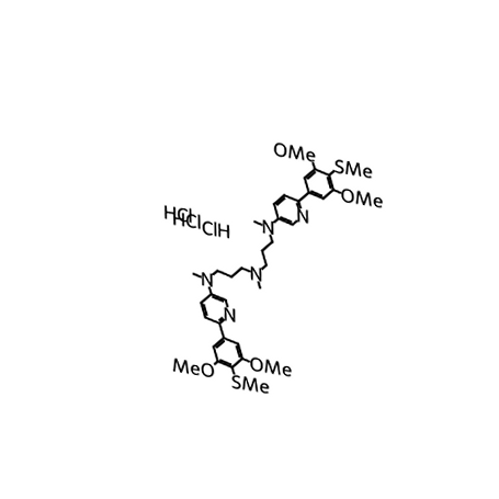 COc1cc(-c2ccc(N(C)CCCN(C)CCCN(C)c3ccc(-c4cc(OC)c(SC)c(OC)c4)nc3)cn2)cc(OC)c1SC.Cl.Cl.Cl